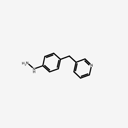 NNc1ccc(Cc2cccnc2)cc1